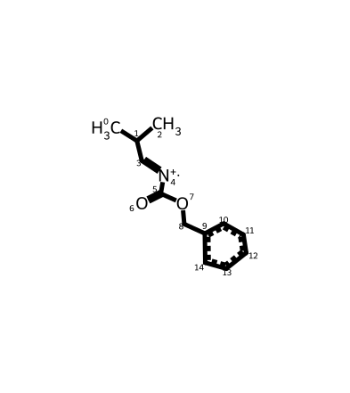 CC(C)C=[N+]C(=O)OCc1ccccc1